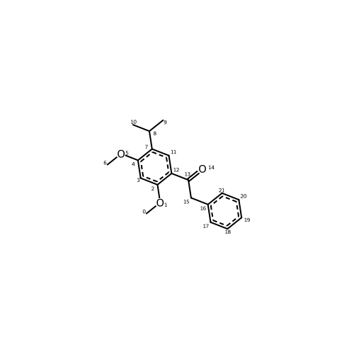 COc1cc(OC)c(C(C)C)cc1C(=O)Cc1ccccc1